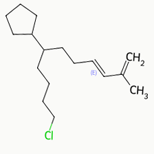 C=C(C)/C=C/CCC(CCCCCl)C1CCCC1